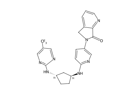 O=C1c2ncccc2CN1c1ccc(N[C@H]2CC[C@H](Nc3ncc(C(F)(F)F)cn3)C2)nc1